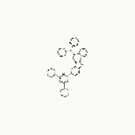 c1ccc(-c2nc(-c3ccccc3)nc(-c3ccc4oc5c6ccccc6c(N(c6ccccc6)c6ccccc6)cc5c4c3)n2)cc1